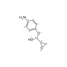 Nc1ccc(OC(O)C2CO2)cc1